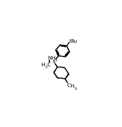 CC1CCC(Sc2ccc(C(C)(C)C)cc2)CC1.CN